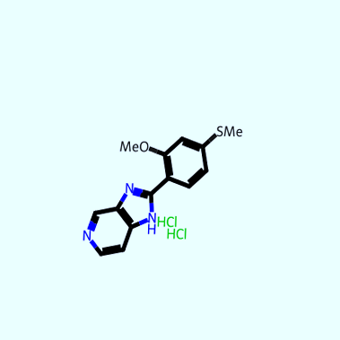 COc1cc(SC)ccc1-c1nc2cnccc2[nH]1.Cl.Cl